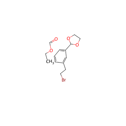 BrCCc1cccc(C2OCCO2)c1.CCOC=O